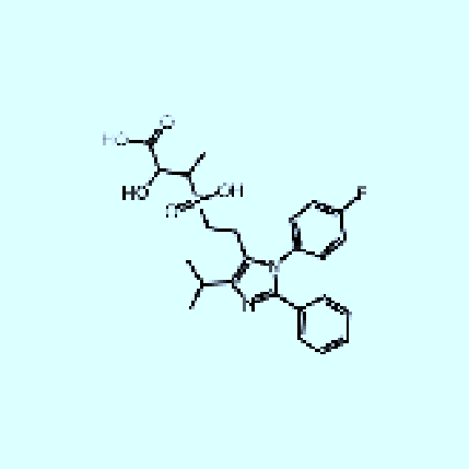 CC(C)c1nc(-c2ccccc2)n(-c2ccc(F)cc2)c1CCP(=O)(O)C(C)C(O)C(=O)O